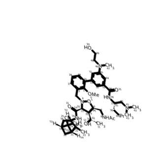 COc1c(CN2O[C@@H](CNC(C)=O)[C@@H]([C@H](C)O)[C@H]2C(=O)N[C@H]2C[C@H]3C[C@@H]([C@@H]2C)C3(C)C)cccc1-c1cc(C(=O)N[C@@H](CC(C)C)CN(C)C)cc(N(C)CCO)c1